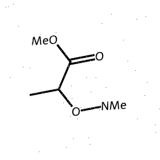 CNOC(C)C(=O)OC